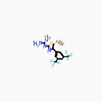 Br.NC(N)=Nc1nc(-c2cc(C(F)(F)F)cc(C(F)(F)F)c2)cs1